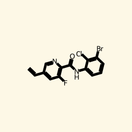 C=Cc1cnc(C(=O)Nc2cccc(Br)c2Cl)c(F)c1